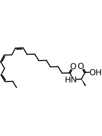 CC/C=C\C/C=C\C/C=C\CCCCCCCC(=O)N[C@H](C)C(=O)O